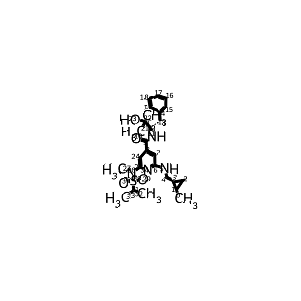 CC1CC1CNc1cc(C(=O)N[C@@H](Cc2ccccc2)C(C)(C)O)cc(N(C)S(=O)(=O)C(C)C)n1